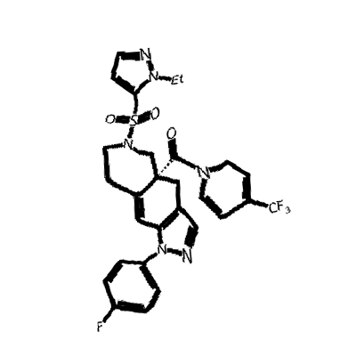 CCn1nccc1S(=O)(=O)N1CCC2=Cc3c(cnn3-c3ccc(F)cc3)C[C@]2(C(=O)N2C=CC(C(F)(F)F)=CC2)C1